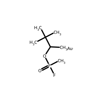 CC(OP(C)(=O)F)C(C)(C)C.[Au]